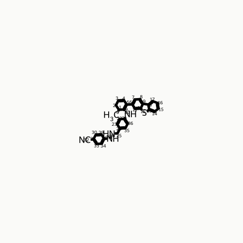 CC1CC=CC(c2ccc3c(c2)sc2ccccc23)=C1Nc1ccc(CNNc2ccc(C#N)cc2)cc1